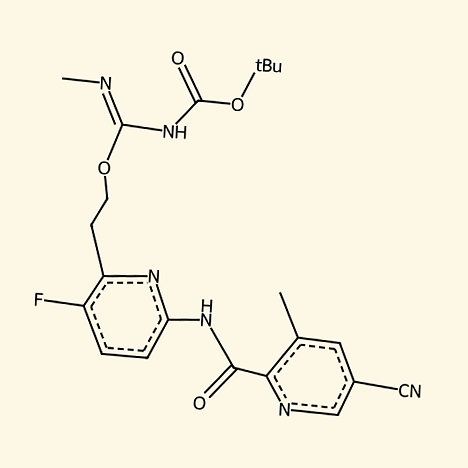 C/N=C(/NC(=O)OC(C)(C)C)OCCc1nc(NC(=O)c2ncc(C#N)cc2C)ccc1F